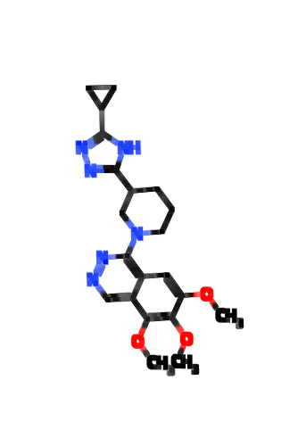 COc1cc2c(N3CCCC(c4nnc(C5CC5)[nH]4)C3)nncc2c(OC)c1OC